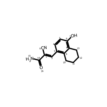 N#C/C(=C\c1ccc(O)c2c1CCCC2)C(N)=O